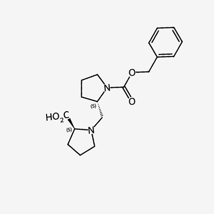 O=C(O)[C@@H]1CCCN1C[C@@H]1CCCN1C(=O)OCc1ccccc1